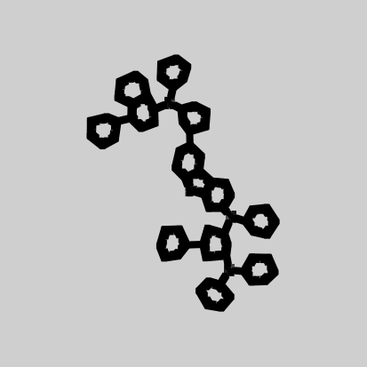 c1ccc(-c2cc(N(c3ccccc3)c3ccccc3)cc(N(c3ccccc3)c3ccc4c(c3)sc3ccc(-c5cccc(N(c6ccccc6)c6ccc(-c7ccccc7)c7ccccc67)c5)cc34)c2)cc1